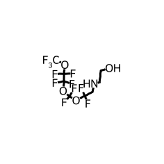 OCCNCC(F)(F)OC(F)(F)OC(F)(F)C(F)(F)OC(F)(F)F